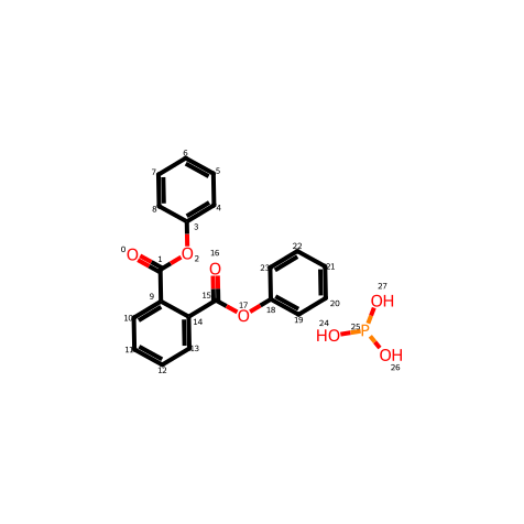 O=C(Oc1ccccc1)c1ccccc1C(=O)Oc1ccccc1.OP(O)O